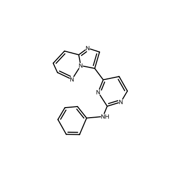 c1ccc(Nc2nccc(-c3cnc4cccnn34)n2)cc1